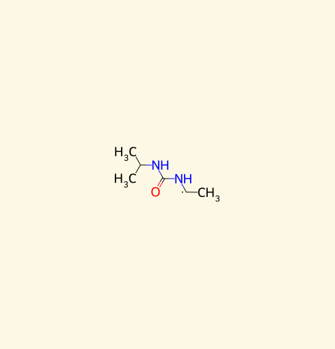 C[CH]NC(=O)NC(C)C